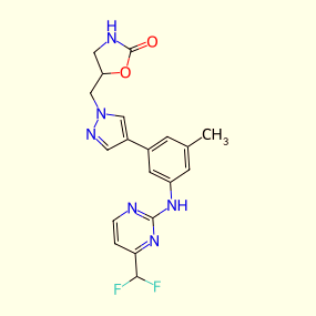 Cc1cc(Nc2nccc(C(F)F)n2)cc(-c2cnn(CC3CNC(=O)O3)c2)c1